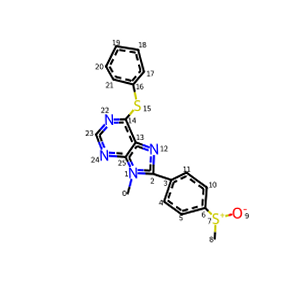 Cn1c(-c2ccc([S+](C)[O-])cc2)nc2c(Sc3ccccc3)ncnc21